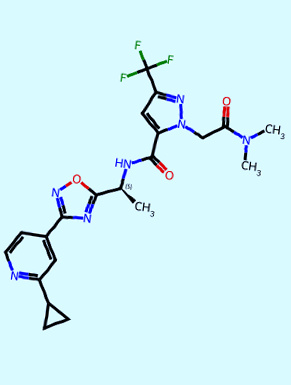 C[C@H](NC(=O)c1cc(C(F)(F)F)nn1CC(=O)N(C)C)c1nc(-c2ccnc(C3CC3)c2)no1